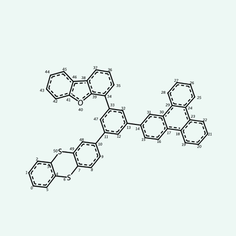 c1ccc2c(c1)Sc1ccc(-c3cc(-c4ccc5c6ccccc6c6ccccc6c5c4)cc(-c4cccc5c4oc4ccccc45)c3)cc1S2